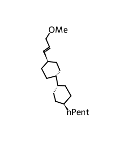 CCCCC[C@H]1CC[C@H]([C@H]2CC[C@H](/C=C/COC)CC2)CC1